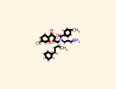 Cc1ccc(C(=O)N(CCCN)[C@@H](c2cc(=O)c3ccc(Cl)cc3o2)C(C)CCc2ccccc2)cc1